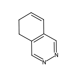 C1=Cc2cnncc2CC1